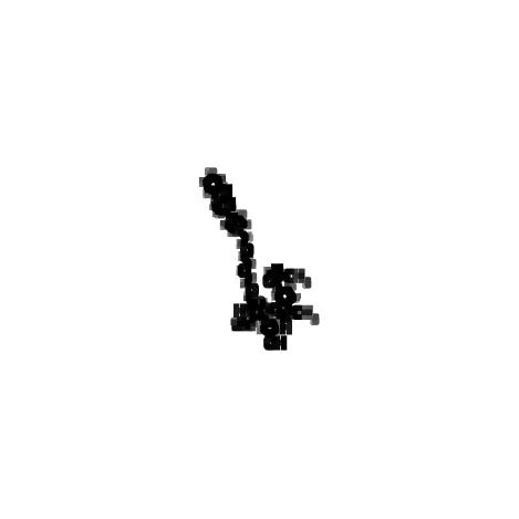 Cc1ncoc1-c1ccc(C(C)NC(=O)[C@@H]2C[C@@H](O)CN2C(=O)C(NC(=O)COCCOCCOCCN2CCN(c3ccn4c(n3)nc3ccccc34)CC2)C(C)(C)C)cc1